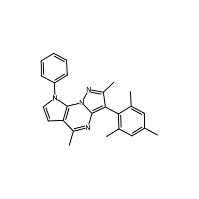 Cc1cc(C)c(-c2c(C)nn3c2nc(C)c2ccn(-c4ccccc4)c23)c(C)c1